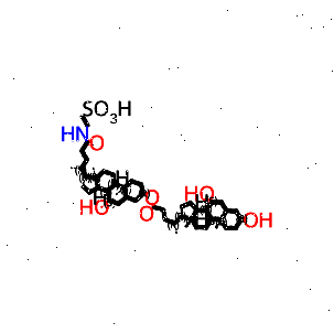 C[C@H](CCC(=O)O[C@@H]1CC[C@@]2(C)C(C1)C[C@H](O)[C@H]1C3CC[C@H]([C@H](C)CCC(=O)NCCS(=O)(=O)O)[C@@]3(C)CC[C@@H]12)[C@H]1CCC2[C@@H]3[C@@H](O)CC4C[C@H](O)CC[C@]4(C)[C@H]3CC[C@@]21C